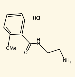 COc1ccccc1C(=O)NCCN.Cl